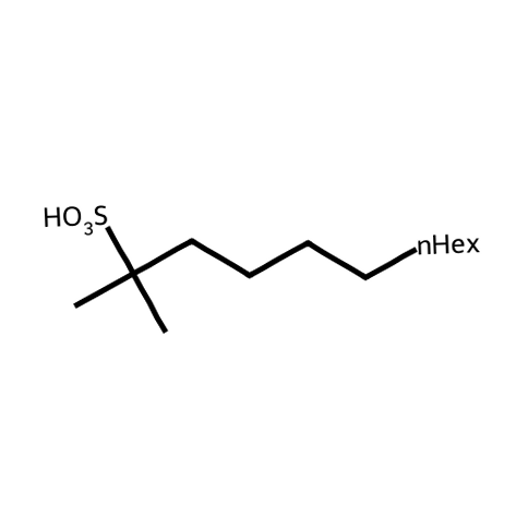 CCCCCCCCCCC(C)(C)S(=O)(=O)O